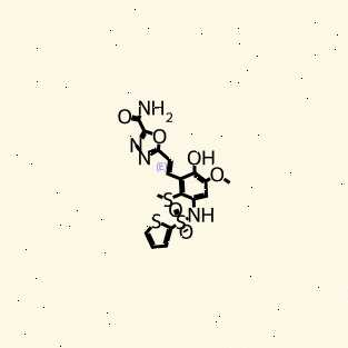 COc1cc(NS(=O)(=O)c2cccs2)c(SC)c(/C=C/c2nnc(C(N)=O)o2)c1O